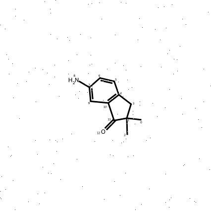 CC1(C)Cc2ccc(N)cc2C1=O